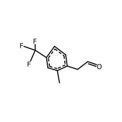 Cc1cc(C(F)(F)F)ccc1CC=O